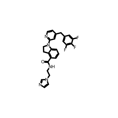 O=C(NCCn1ccnc1)c1cccc2c1CCN2c1cc(Cc2cc(F)c(F)c(F)c2)ccn1